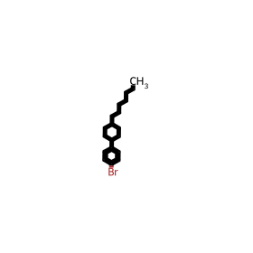 CCCCCCCC1CCC(c2ccc(Br)cc2)CC1